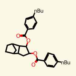 CCCCc1ccc(C(=O)OC2CC3C4CCC(C4)C3C2OC(=O)c2ccc(CCCC)cc2)cc1